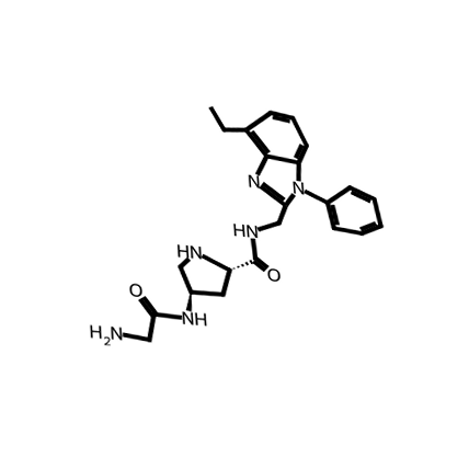 CCc1cccc2c1nc(CNC(=O)[C@@H]1C[C@@H](NC(=O)CN)CN1)n2-c1ccccc1